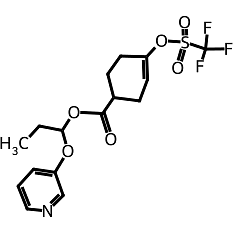 CCC(OC(=O)C1CC=C(OS(=O)(=O)C(F)(F)F)CC1)Oc1cccnc1